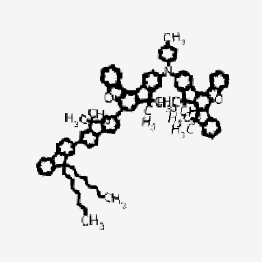 CCCCCCCC1(CCCCCCC)c2ccccc2-c2ccc(-c3ccc4c(c3)C(C)(C)c3cc(-c5cc6c(c7c5oc5ccccc57)-c5ccc(N(c7ccc(C)cc7)c7ccc8c(c7)C(C)(C)c7c9c(c%10oc%11ccccc%11c%10c7-8)-c7ccccc7C9(C)C)cc5C6(C)C)ccc3-4)cc21